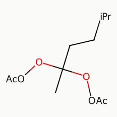 CC(=O)OOC(C)(CCC(C)C)OOC(C)=O